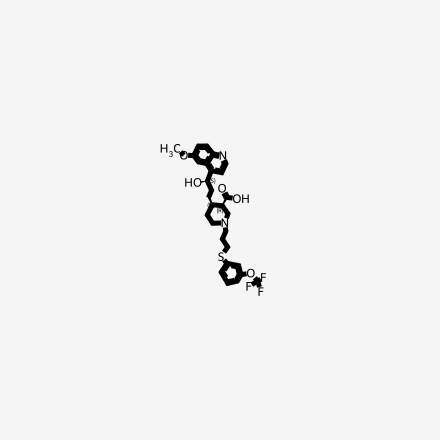 COc1ccc2nccc([C@@H](O)CC[C@@H]3CCN(CCCSc4cccc(OC(F)(F)F)c4)C[C@@H]3C(=O)O)c2c1